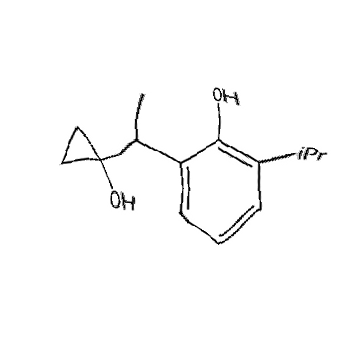 CC(C)c1cccc(C(C)C2(O)CC2)c1O